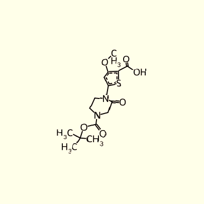 COc1cc(N2CCN(C(=O)OC(C)(C)C)CC2=O)sc1C(=O)O